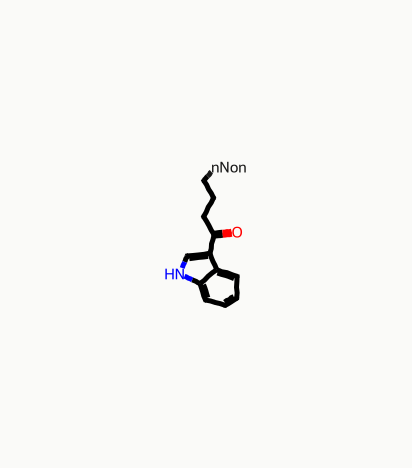 CCCCCCCCCCCCC(=O)c1c[nH]c2ccccc12